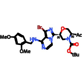 COc1ccc(CNc2nccn3c([C@H]4CN(C(=O)OC(C)(C)C)[C@H](C(C)=O)CO4)nc(Br)c23)c(OC)c1